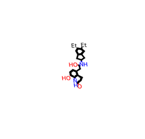 CCc1cc2c(cc1CC)CC(N[C@H](O)Cc1ccc(O)c3[nH]c(=O)ccc13)C2